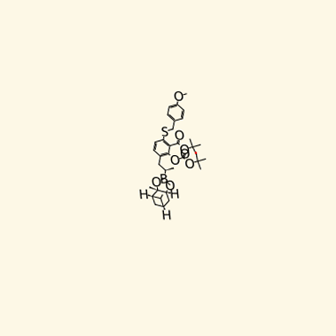 COc1ccc(CSc2ccc(C[C@@H](C)B3O[C@@H]4C[C@@H]5C[C@@H](C5C)[C@]4(C)O3)c(OC(=O)OC(C)(C)C)c2C(=O)OC(C)(C)C)cc1